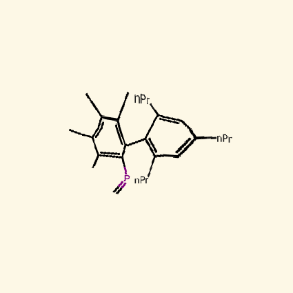 C=Pc1c(C)c(C)c(C)c(C)c1-c1c(CCC)cc(CCC)cc1CCC